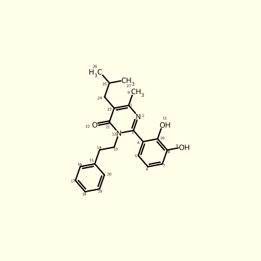 Cc1nc(-c2cccc(O)c2O)n(CCc2ccccc2)c(=O)c1CC(C)C